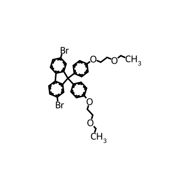 CCOCCOc1ccc(C2(c3ccc(OCCOCC)cc3)c3cc(Br)ccc3-c3ccc(Br)cc32)cc1